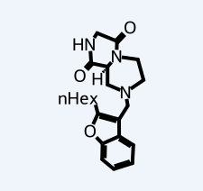 CCCCCCc1oc2ccccc2c1CN1CCN2C(=O)CNC(=O)[C@@H]2C1